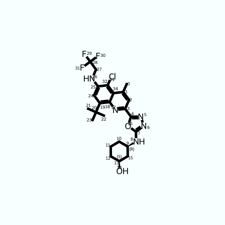 Cc1cc(-c2nnc(N[C@@H]3CCC[C@H](O)C3)o2)nc2c(C(C)(C)C)cc(NCC(F)(F)F)c(Cl)c12